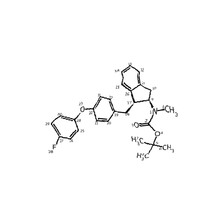 CN(C(=O)OC(C)(C)C)[C@@H]1Cc2ccccc2[C@@H]1Cc1ccc(Oc2ccc(F)cc2)cc1